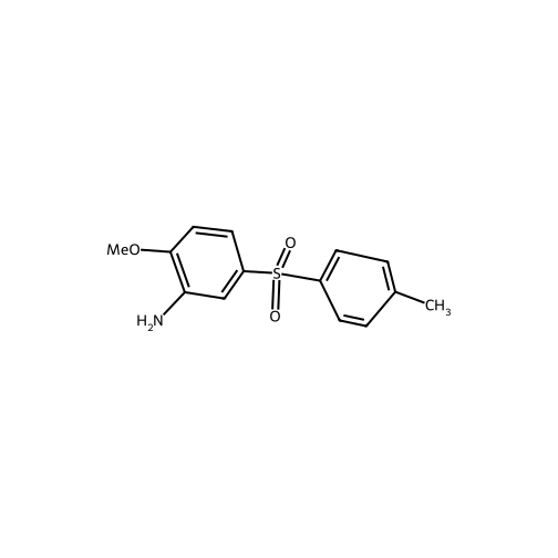 COc1ccc(S(=O)(=O)c2ccc(C)cc2)cc1N